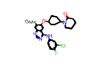 COc1cc2ncnc(Nc3ccc(F)c(Cl)c3)c2cc1OC1CCC(N2CCCCC2=O)CC1